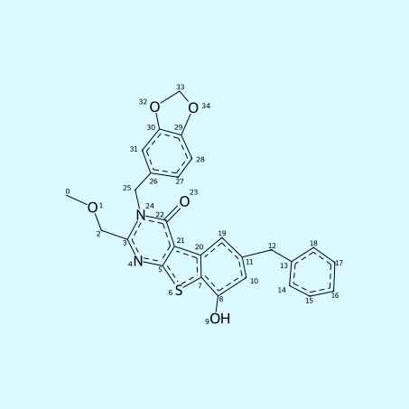 COCc1nc2sc3c(O)cc(Cc4ccccc4)cc3c2c(=O)n1Cc1ccc2c(c1)OCO2